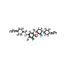 CCCc1ccc(-c2ccc3c(c2F)Oc2c(cc(CCC4CCC(CCC)CC4)c(F)c2F)C3)cc1